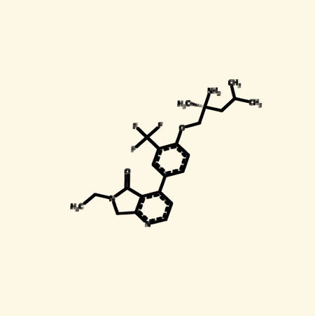 CCN1Cc2nccc(-c3ccc(OC[C@@](C)(N)CC(C)C)c(C(F)(F)F)c3)c2C1=O